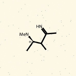 CN[C@H](C)C(C)C(C)=N